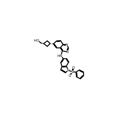 O=S(=O)(c1ccccc1)n1ccc2cc(Nc3ncnc4ccc([C@H]5C[C@H](CO)C5)cc34)ccc21